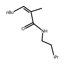 CCCCC=C(C)C(=O)NCCC(C)C